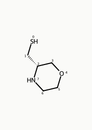 SC[C@@H]1COCCN1